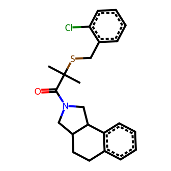 CC(C)(SCc1ccccc1Cl)C(=O)N1CC2CCc3ccccc3C2C1